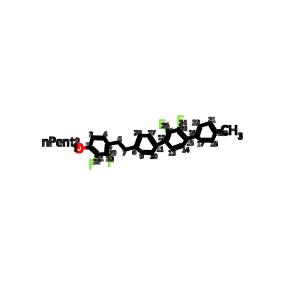 CCCCCOc1ccc(CCc2ccc(-c3ccc(-c4ccc(C)cc4)c(F)c3F)cc2)c(F)c1F